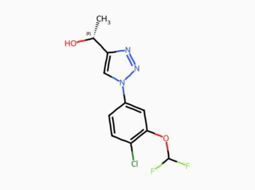 C[C@@H](O)c1cn(-c2ccc(Cl)c(OC(F)F)c2)nn1